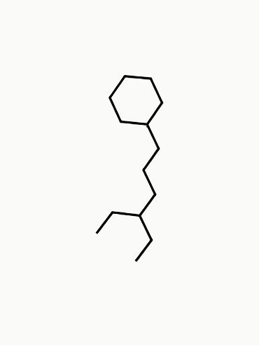 CCC(CC)CCC[C]1CCCCC1